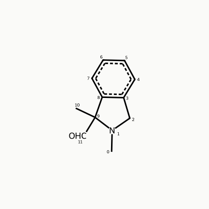 CN1Cc2ccccc2C1(C)C=O